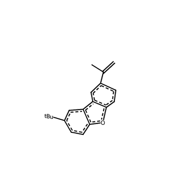 C=C(C)c1ccc2oc3ccc(C(C)(C)C)cc3c2c1